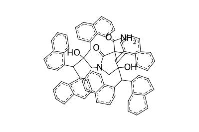 NC(=O)C1(C(=O)N(CC(O)(Cc2cccc3ccccc23)C(c2cccc3ccccc23)c2cccc3ccccc23)CC(O)(Cc2cccc3ccccc23)C(c2cccc3ccccc23)c2cccc3ccccc23)CC1